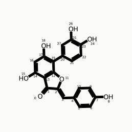 O=C1/C(=C/c2ccc(O)cc2)Oc2c1c(O)cc(O)c2-c1ccc(O)c(O)c1